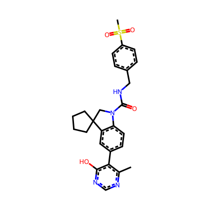 Cc1ncnc(O)c1-c1ccc2c(c1)C1(CCCC1)CN2C(=O)NCc1ccc(S(C)(=O)=O)cc1